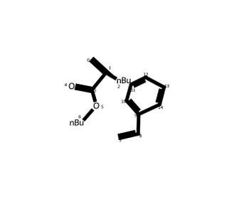 C=C(CCCC)C(=O)OCCCC.C=Cc1ccccc1